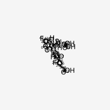 COC(=O)C1=C(CN2CCN3C(=O)N(c4ccc(CCC(=O)O)cc4F)C[C@@H]3C2)N=C(c2nccs2)N[C@H]1c1ccc(F)cc1Cl.O=P(O)(O)O